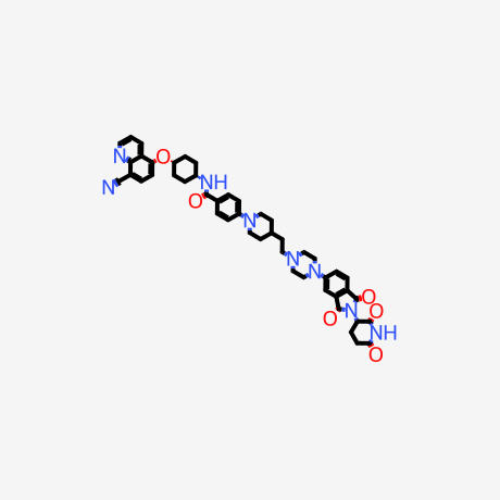 N#Cc1ccc(O[C@H]2CC[C@H](NC(=O)c3ccc(N4CCC(CCN5CCN(c6ccc7c(c6)C(=O)N(C6CCC(=O)NC6=O)C7=O)CC5)CC4)cc3)CC2)c2cccnc12